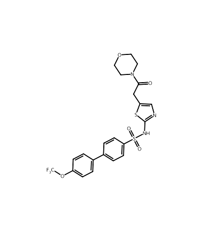 O=C(Cc1cnc(NS(=O)(=O)c2ccc(-c3ccc(OC(F)(F)F)cc3)cc2)s1)N1CCOCC1